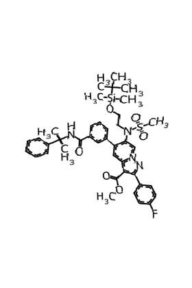 COC(=O)c1c(-c2ccc(F)cc2)nn2cc(N(CCO[Si](C)(C)C(C)(C)C)S(C)(=O)=O)c(-c3cccc(C(=O)NC(C)(C)c4ccccc4)c3)cc12